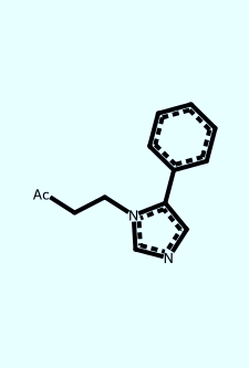 CC(=O)CCn1cncc1-c1ccccc1